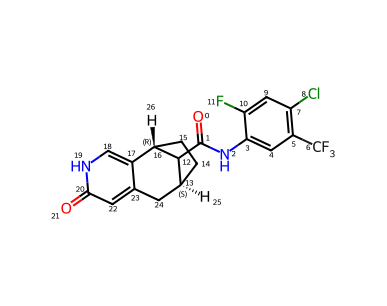 O=C(Nc1cc(C(F)(F)F)c(Cl)cc1F)C1[C@H]2CC[C@H]1c1c[nH]c(=O)cc1C2